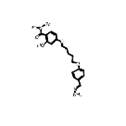 CC(C)N(C(=O)c1ccc(OCCCCCOc2ccc(C=NN)cc2)cc1O)C(C)C